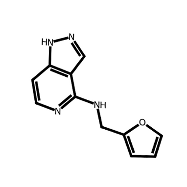 c1coc(CNc2nccc3[nH]ncc23)c1